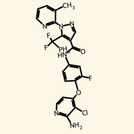 Cc1cccnc1-n1ncc(C(=O)Nc2ccc(Oc3ccnc(N)c3Cl)c(F)c2)c1C(F)(F)P